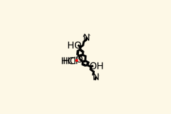 CN(C)CCCC(O)c1ccc2c(c1)Cc1cc(C(O)CCCN(C)C)ccc1O2.Cl.Cl